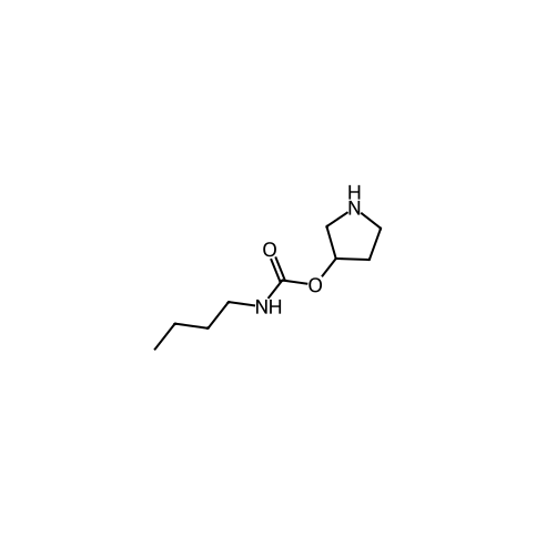 CCCCNC(=O)OC1CCNC1